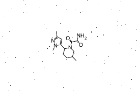 Cc1cc(C2CCC(C)CN2C(=O)C(N)=O)n(C)n1